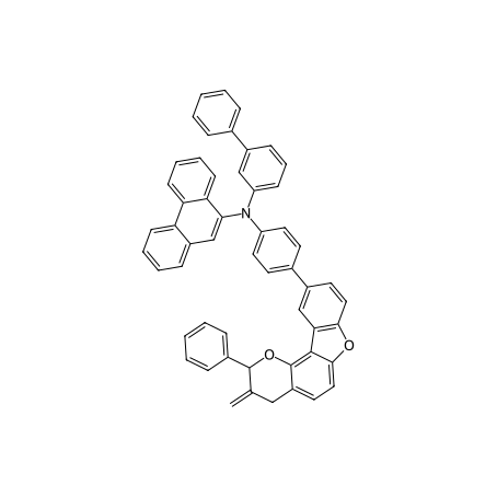 C=C1Cc2ccc3oc4ccc(-c5ccc(N(c6cccc(-c7ccccc7)c6)c6cc7ccccc7c7ccccc67)cc5)cc4c3c2OC1c1ccccc1